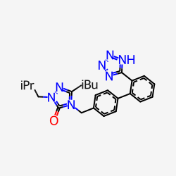 CCC(C)c1nn(CC(C)C)c(=O)n1Cc1ccc(-c2ccccc2-c2nnn[nH]2)cc1